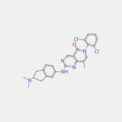 Cc1cn(-c2c(Cl)cccc2Cl)c(=O)c2cnc(Nc3ccc4c(c3)CC(N(C)C)C4)nc12